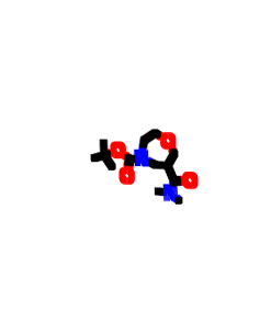 CN(C)C(=O)C1COCCN(C(=O)OC(C)(C)C)C1